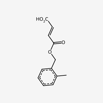 Cc1ccccc1COC(=O)C=CC(=O)O